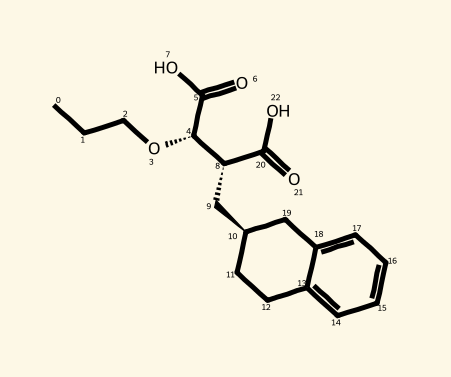 CCCO[C@H](C(=O)O)[C@@H](C[C@@H]1CCc2ccccc2C1)C(=O)O